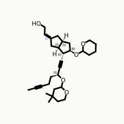 CC#CCC[C@@H](C#C[C@@H]1[C@H]2C/C(=C/CO)C[C@H]2C[C@H]1OC1CCCCO1)OC1CC(C)(C)CCO1